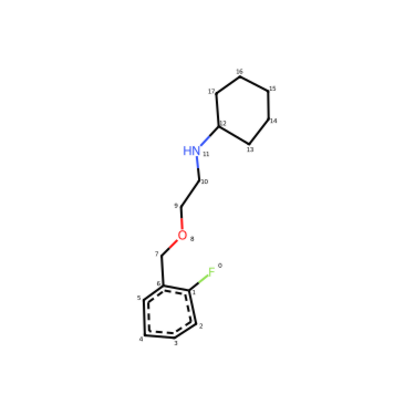 Fc1ccccc1COCCNC1CCCCC1